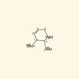 CC(C)(C)C1C=CCNC1C(C)(C)C